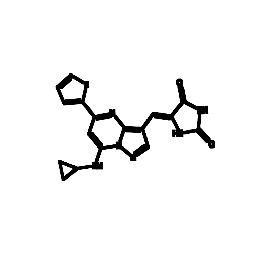 O=C1NC(=O)/C(=C/c2cnn3c(NC4CC4)cc(-c4cccs4)nc23)N1